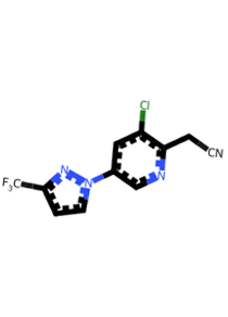 N#CCc1ncc(-n2ccc(C(F)(F)F)n2)cc1Cl